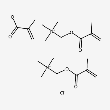 C=C(C)C(=O)OC[N+](C)(C)C.C=C(C)C(=O)OC[N+](C)(C)C.C=C(C)C(=O)[O-].[Cl-]